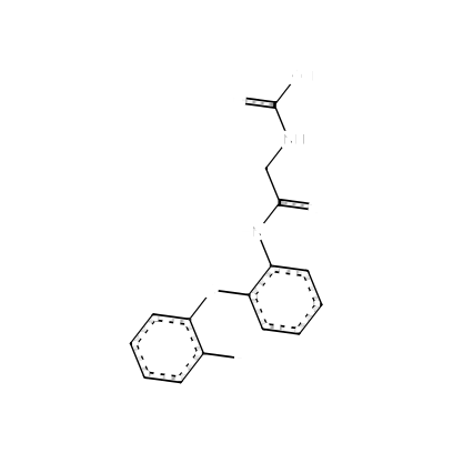 O=C(O)NCC(=O)Nc1ccccc1Sc1ccccc1F